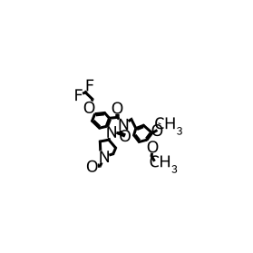 CCOc1ccc(Cn2c(=O)c3cc(OCC(F)F)ccc3n(C3CCN(C=O)CC3)c2=O)cc1OC